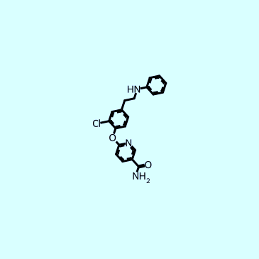 NC(=O)c1ccc(Oc2ccc(CCNc3ccccc3)cc2Cl)nc1